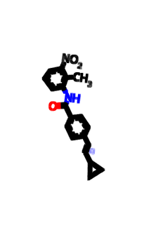 Cc1c(NC(=O)c2ccc(/C=C/C3CC3)cc2)cccc1[N+](=O)[O-]